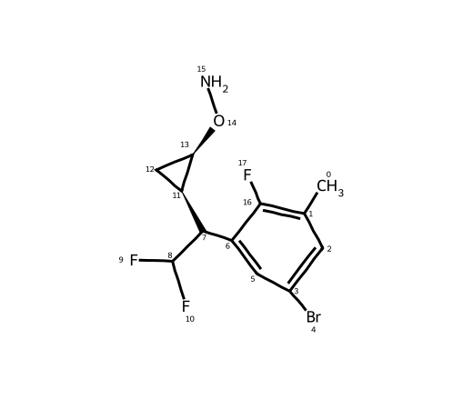 Cc1cc(Br)cc(C(C(F)F)[C@H]2C[C@H]2ON)c1F